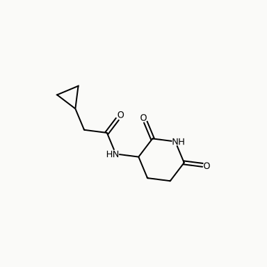 O=C1CCC(NC(=O)CC2CC2)C(=O)N1